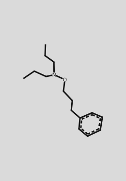 CCCN(CCC)OCCCc1ccccc1